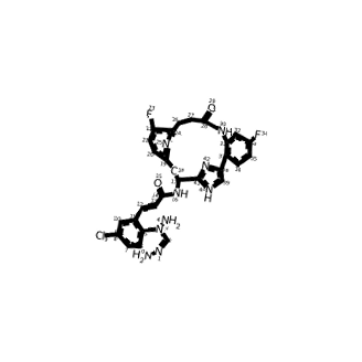 N/N=C\N(N)c1ccc(Cl)cc1/C=C/C(=O)NC1Cc2ccc(F)c(n2)CCC(=O)Nc2cc(F)ccc2-c2c[nH]c1n2